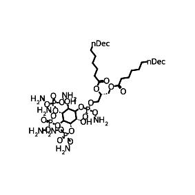 CCCCCCCCCCCCCCCC(=O)OC[C@H](COP(=O)(ON)OC1[C@H](O)[C@H](OP(=O)(ON)ON)C(OP(=O)(ON)ON)[C@H](OP(=O)(ON)ON)[C@H]1O)OC(=O)CCCCCCCCCCCCCCC